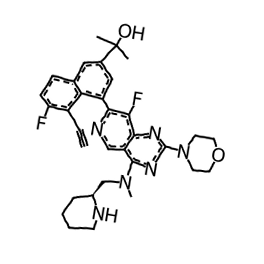 C#Cc1c(F)ccc2cc(C(C)(C)O)cc(-c3ncc4c(N(C)C[C@@H]5CCCCN5)nc(N5CCOCC5)nc4c3F)c12